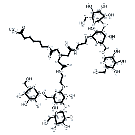 CCNC(=O)CCCCCNC(=O)CN(CC(=O)NCCO[C@@H]1O[C@H](CO[C@H]2O[C@H](CO)[C@H](O)[C@H](O)[C@@H]2O)[C@@H](O)[C@H](O[C@H]2O[C@H](CO)[C@@H](O)[C@H](O)[C@@H]2O)[C@H]1O)CC(=O)NCCO[C@@H]1O[C@H](CO[C@H]2O[C@H](CO)[C@@H](O)[C@H](O)[C@@H]2O)[C@@H](O)[C@H](O[C@H]2O[C@H](CO)[C@@H](O)[C@H](O)[C@@H]2O)[C@H]1O